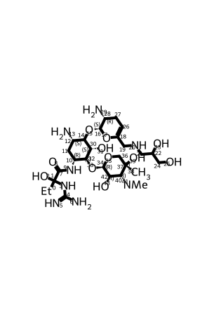 CCC(O)(NC(=N)N)C(=O)N[C@@H]1C[C@H](N)C(O[C@H]2OC(CNCC(O)CO)=CC[C@H]2N)[C@H](O)[C@H]1O[C@H]1OC[C@](C)(O)[C@H](NC)[C@H]1O